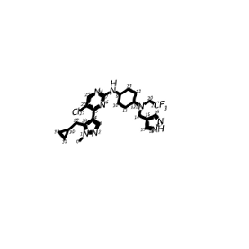 Cn1ncc(-c2nc(NC3CCC(N(Cc4cn[nH]c4)CC(F)(F)F)CC3)ncc2Cl)c1CC1CC1